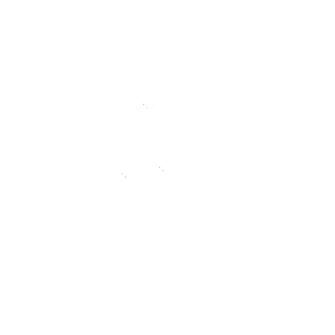 C=C(O)c1cnc(Nc2cccc(Cl)c2)c2cc[nH]c12